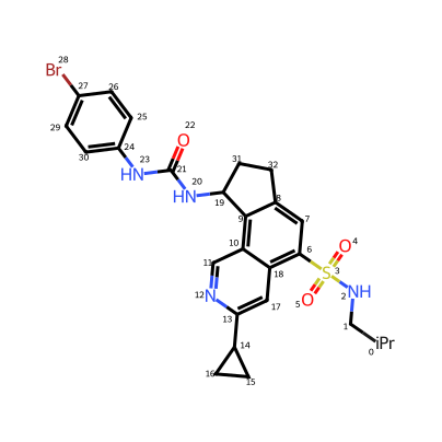 CC(C)CNS(=O)(=O)c1cc2c(c3cnc(C4CC4)cc13)C(NC(=O)Nc1ccc(Br)cc1)CC2